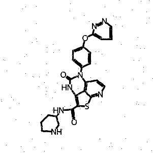 O=C(N[C@@H]1CCCNC1)c1sc2nccc3c2c1NC(=O)N3c1ccc(Oc2cccnn2)cc1